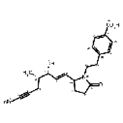 CCCC#CC[C@H](C)[C@H](O)C=CC1CCC(=O)N1CCc1ccc(C(=O)O)cc1